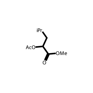 COC(=O)C(CC(C)C)OC(C)=O